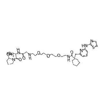 CC1CCCN1C(=O)C(NC(=O)CNCCOCCOCCOCCNC(=O)C1(Cc2cccc(Nc3nccs3)n2)CCCCC1)C(C)(C)C